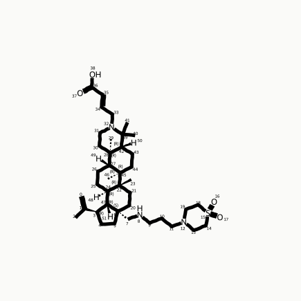 C=C(C)[C@@H]1CC[C@]2(CNCCCN3CCS(=O)(=O)CC3)CC[C@]3(C)[C@H](CC[C@@H]4[C@@]5(C)CCN(CC=CC(=O)O)C(C)(C)[C@@H]5CC[C@]43C)[C@@H]12